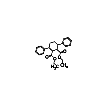 CCOC(=O)C1C(c2ccccc2)CCC(c2ccccc2)C1C(=O)OCC